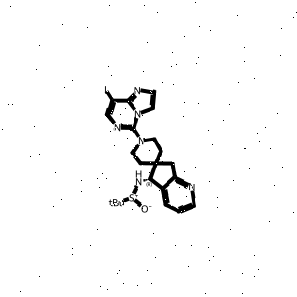 CC(C)(C)[S+]([O-])N[C@H]1c2cccnc2CC12CCN(c1ncc(I)c3nccn13)CC2